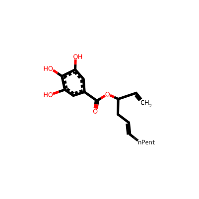 C=CC(CC=CCCCCC)OC(=O)c1cc(O)c(O)c(O)c1